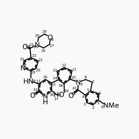 CNc1ccc2c(c1)CCN(c1cccc(-c3cc(Nc4ccc(C(=O)N5CCOCC5)cn4)c(=O)[nH]c3C)c1CO)C2=O